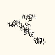 CC(C)(C)c1cc(CCC(=O)OCCn2c(=O)n(CCOC(=O)CCc3ccc(O)c(C(C)(C)C)c3)c(=O)n(CCOC(=O)CCc3ccc(O)c(C(C)(C)C)c3)c2=O)ccc1O